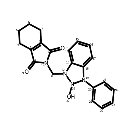 O=C1C2=C(CCCC2)C(=O)N1CN1c2ccccc2N(c2c[c]ccc2)N1O